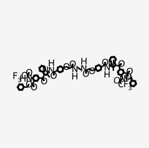 Cc1c(C(=O)c2ccc(NC(=O)C(F)(F)F)c(C(=O)OCc3ccccc3)c2)c2ccccn2c1NC(=O)c1ccc(OCC(=O)NCCNC(=O)COc2ccc(C(=O)Nc3c(C)c(C(=O)c4ccc(NC(=O)C(F)(F)F)c(C(=O)OCc5ccccc5)c4)c4ccccn34)cc2)cc1